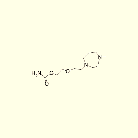 CN1CCCN(CCOCCOC(N)=O)CC1